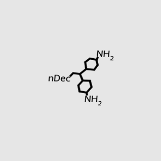 CCCCCCCCCCCC(C1CCC(N)CC1)C1CCC(N)CC1